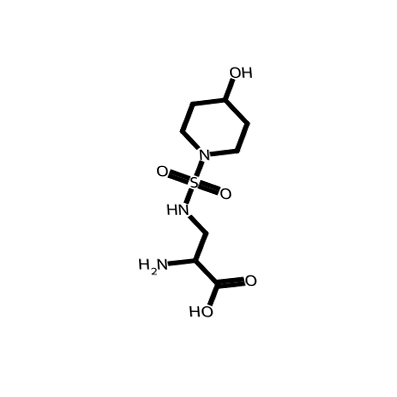 NC(CNS(=O)(=O)N1CCC(O)CC1)C(=O)O